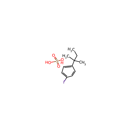 CCC(C)(C)c1ccc(I)cc1.O=S(=O)(O)O